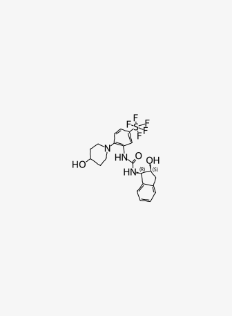 O=C(Nc1cc(S(F)(F)(F)(F)F)ccc1N1CCC(O)CC1)N[C@@H]1c2ccccc2C[C@@H]1O